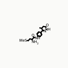 CSCC[C@@H](N)C(=O)Nc1ccc(C2=NNC(=O)CC2C)cc1